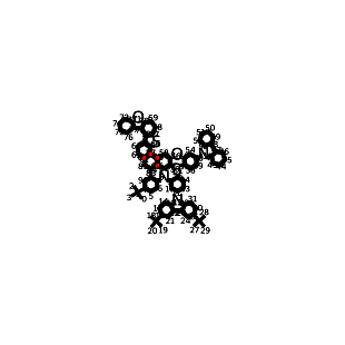 CC(C)(C)c1ccc(N2c3cc(-n4c5ccc(C(C)(C)C)cc5c5cc(C(C)(C)C)ccc54)ccc3B3c4ccc(-n5c6ccccc6c6ccccc65)cc4Oc4cc(-c5cccc6c5sc5ccc7oc8ccccc8c7c56)cc2c43)c(-c2ccccc2)c1